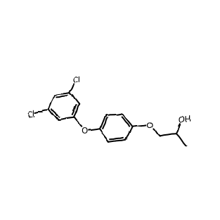 CC(O)COc1ccc(Oc2cc(Cl)cc(Cl)c2)cc1